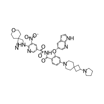 N#CC1(CNc2ncc(S(=O)(=O)NC(=O)c3ccc(N4CCC5(CC4)CC(N4CCCC4)C5)cc3Oc3cnc4[nH]ccc4c3)cc2[N+](=O)[O-])CCOCC1